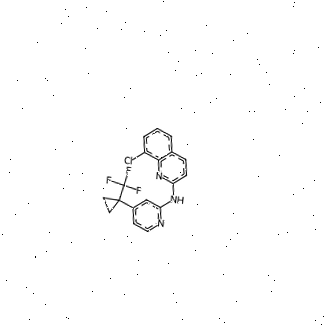 FC(F)(F)C1(c2ccnc(Nc3ccc4cccc(Cl)c4n3)c2)CC1